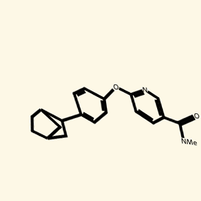 CNC(=O)c1ccc(Oc2ccc(C3CC4CCC3C4)cc2)nc1